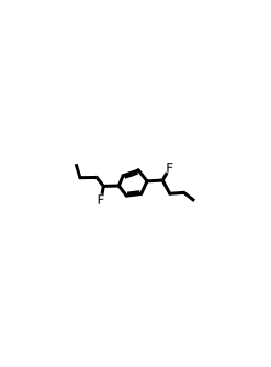 CCCC(F)C1C=CC(C(F)CCC)C=C1